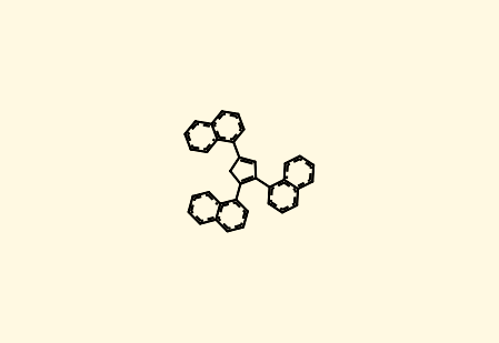 C1=C(c2cccc3ccccc23)CC(c2cccc3ccccc23)=C1c1cccc2ccccc12